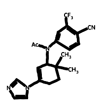 CC(=O)N(c1ccc(C#N)c(C(F)(F)F)c1)C1C=C(n2ccnc2)CCC1(C)C